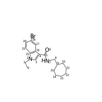 CCn1cc(C(=O)NCC2CCCCCC2)c2cc(Br)ccc21